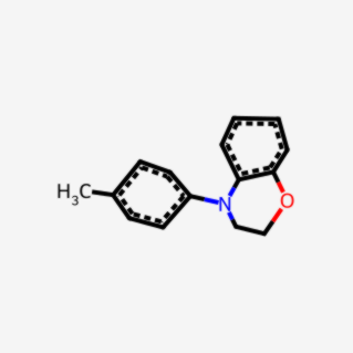 Cc1ccc(N2CCOc3ccccc32)cc1